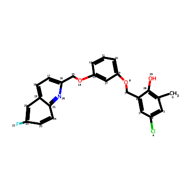 Cc1cc(Cl)cc(COc2cccc(OCc3ccc4cc(F)ccc4n3)c2)c1O